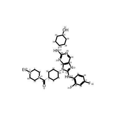 CCN1CCN(C(=O)[C@H]2CC[C@@H](n3c(Nc4ccc(F)cc4F)nc4cnc(N[C@H]5CC[C@H](O)CC5)nc43)CC2)CC1